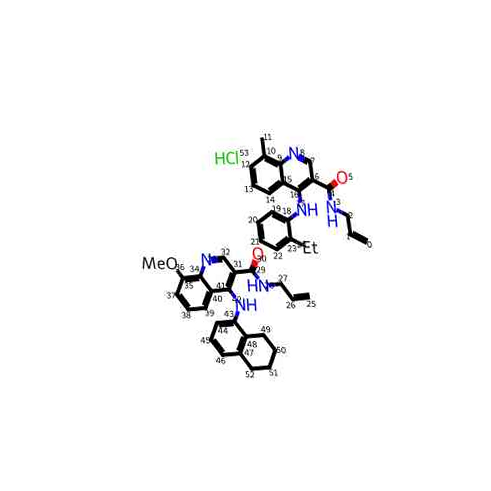 C=CCNC(=O)c1cnc2c(C)cccc2c1Nc1ccccc1CC.C=CCNC(=O)c1cnc2c(OC)cccc2c1Nc1cccc2c1CCCC2.Cl